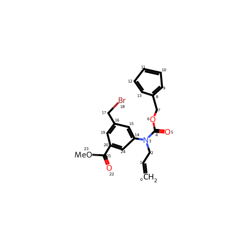 C=CCN(C(=O)OCc1ccccc1)c1cc(CBr)cc(C(=O)OC)c1